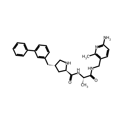 Cc1nc(N)ccc1CNC(=O)[C@H](C)NC(=O)[C@H]1C[C@H](Cc2cccc(-c3ccccc3)c2)CN1